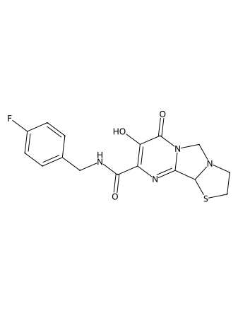 O=C(NCc1ccc(F)cc1)c1nc2n(c(=O)c1O)CN1CCSC21